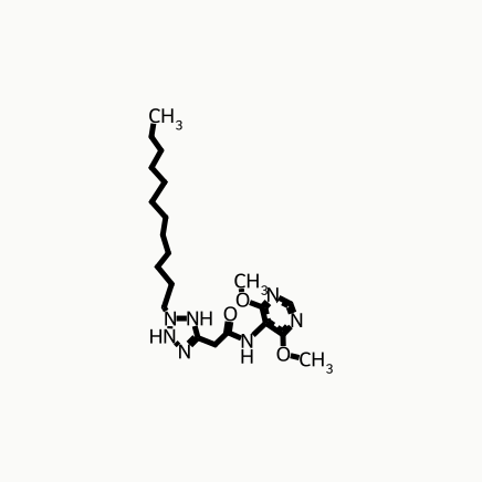 CCCCCCCCCCCCN1NN=C(CC(=O)Nc2c(OC)ncnc2OC)N1